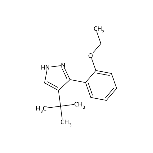 CCOc1ccccc1-c1n[nH]cc1C(C)(C)C